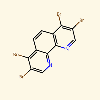 Brc1cnc2c(ccc3c(Br)c(Br)cnc32)c1Br